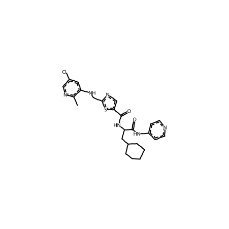 Cc1ncc(Cl)cc1NCc1ncc(C(=O)NC(CC2CCCCC2)C(=O)Nc2ccncc2)s1